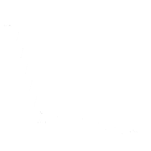 CCCCCCCCCCCCCCCCCCCCN(CCCCCCCC)CCCCCCCCCCCCCCCCCCCC